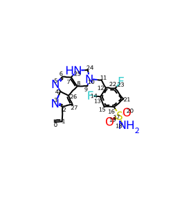 C=CC1=NC2N=CC3=C(CN(Cc4c(F)cc(S(N)(=O)=O)cc4F)CN3)C2=C1